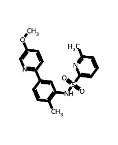 COc1ccc(-c2ccc(C)c(NS(=O)(=O)c3cccc(C)n3)c2)nc1